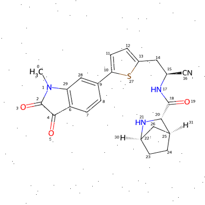 CN1C(=O)C(=O)c2ccc(-c3ccc(C[C@@H](C#N)NC(=O)[C@H]4N[C@@H]5CC[C@H]4C5)s3)cc21